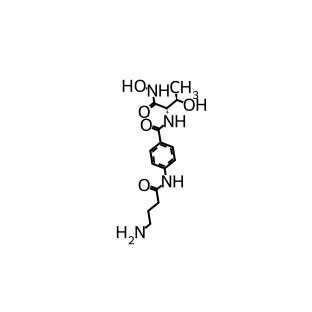 C[C@@H](O)[C@H](NC(=O)c1ccc(NC(=O)CCCN)cc1)C(=O)NO